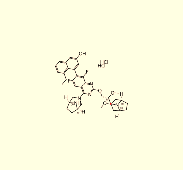 CCc1cccc2cc(O)cc(-c3c(F)cc4c(N5C[C@H]6CC[C@@H](C5)N6)nc(OC[C@@H](CN5[C@@H]6CC[C@H]5CC(OC)C6)OC)nc4c3F)c12.Cl.Cl